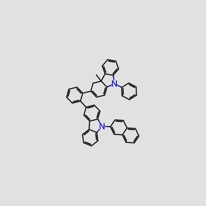 CC12CC(c3ccccc3-c3ccc4c(c3)c3ccccc3n4-c3ccc4ccccc4c3)=CC=C1N(c1ccccc1)c1ccccc12